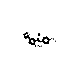 COc1ccc(-c2cccs2)cc1C(=C=O)Cc1ccc(C(F)(F)F)cc1